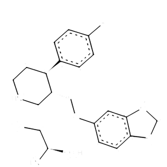 Fc1ccc([C@@H]2CCNC[C@H]2COc2ccc3c(c2)OCO3)cc1.N[C@@H](CC(=O)O)C(=O)O